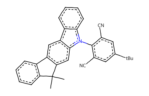 CC(C)(C)c1cc(C#N)c(-n2c3ccccc3c3cc4c(cc32)C(C)(C)c2ccccc2-4)c(C#N)c1